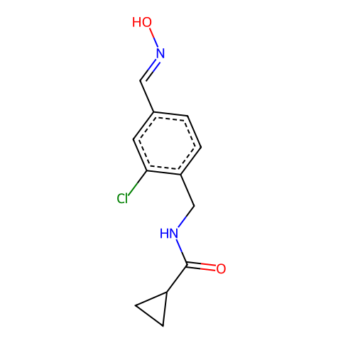 O=C(NCc1ccc(C=NO)cc1Cl)C1CC1